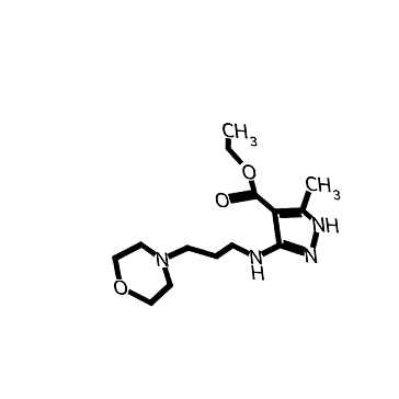 CCOC(=O)c1c(NCCCN2CCOCC2)n[nH]c1C